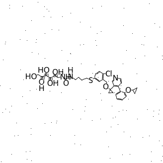 O=C(NCCCCSc1ccc(Cl)c(COC2(c3cnccc3-c3ccccc3OC3CC3)CC2)c1)NC[C@H](O)[C@@H](O)[C@H](O)[C@H](O)CO